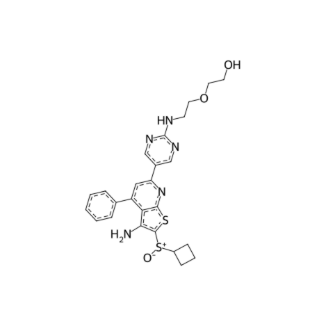 Nc1c([S+]([O-])C2CCC2)sc2nc(-c3cnc(NCCOCCO)nc3)cc(-c3ccccc3)c12